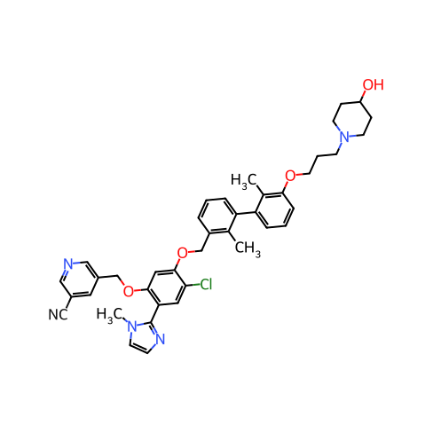 Cc1c(COc2cc(OCc3cncc(C#N)c3)c(-c3nccn3C)cc2Cl)cccc1-c1cccc(OCCCN2CCC(O)CC2)c1C